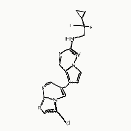 FC(F)(CNc1ncc2c(-c3cnc4ncc(Cl)n4c3)ccn2n1)C1CC1